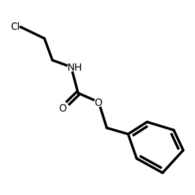 O=C(NCCCl)OCc1ccccc1